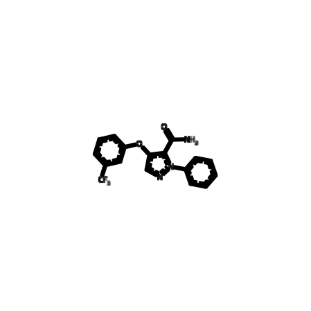 NC(=O)c1c(Oc2cccc(C(F)(F)F)c2)cnn1-c1ccccc1